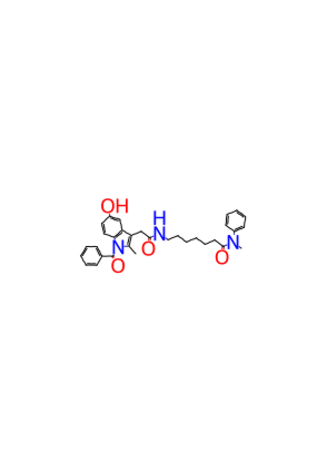 Cc1c(CC(=O)NCCCCCCC(=O)N(C)c2ccccc2)c2cc(O)ccc2n1C(=O)c1ccccc1